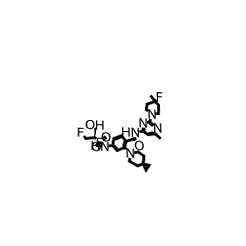 Cc1cc(NC(=O)c2ccc(NS(=O)(=O)[C@H](CO)CF)cc2N2CCC3(CC2)CC3)nc(N2CCC(C)(F)CC2)n1